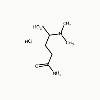 CN(C)C(CCC(N)=O)S(=O)(=O)O.Cl